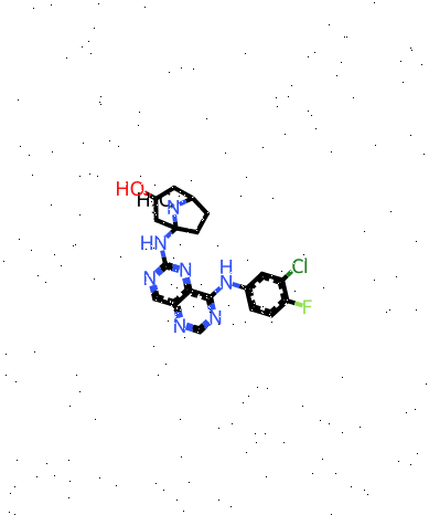 CN1C2CCC1(Nc1ncc3ncnc(Nc4ccc(F)c(Cl)c4)c3n1)CC(O)C2